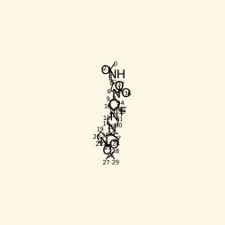 CC(=O)NC[C@H]1CN(c2ccc(N3CCN(C(=S)C4CCCN4C(=O)OC(C)(C)C)CC3)c(F)c2)C(=O)O1